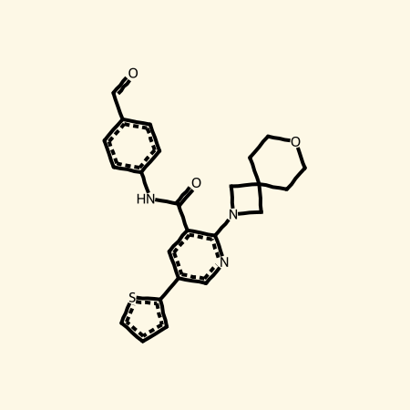 O=Cc1ccc(NC(=O)c2cc(-c3cccs3)cnc2N2CC3(CCOCC3)C2)cc1